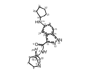 O=C(N[C@@H]1CN2CCC1CC2)c1n[nH]c2ccc(NC3CCCC3)cc12